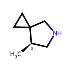 C[C@@H]1CNCC12CC2